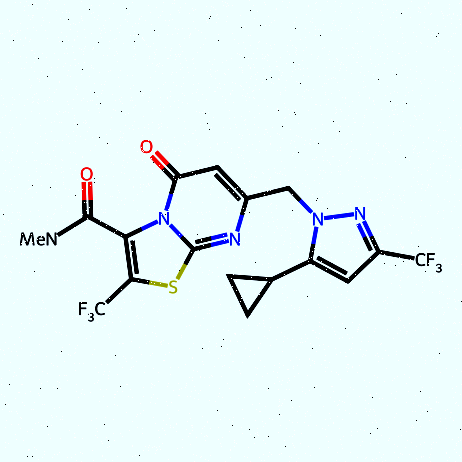 CNC(=O)c1c(C(F)(F)F)sc2nc(Cn3nc(C(F)(F)F)cc3C3CC3)cc(=O)n12